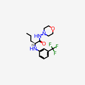 CCC[C@H](Nc1cccc(C(F)(F)F)c1)C(=O)NN1CCOCC1